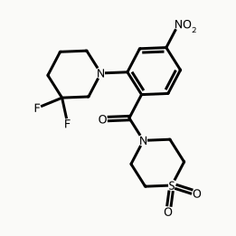 O=C(c1ccc([N+](=O)[O-])cc1N1CCCC(F)(F)C1)N1CCS(=O)(=O)CC1